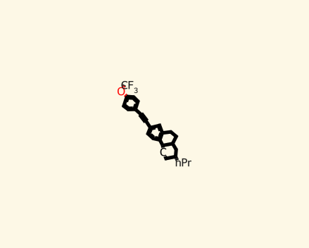 CCCC1CCC2c3ccc(C#Cc4ccc(OC(F)(F)F)cc4)cc3CCC2C1